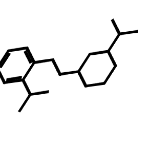 CC(C)c1ccccc1CCC1CCCC(C(C)C)C1